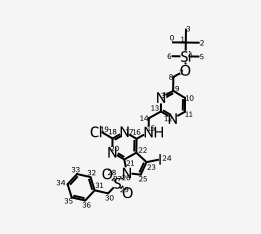 CC(C)(C)[Si](C)(C)OCc1ccnc(CNc2nc(Cl)nc3c2c(I)cn3S(=O)(=O)Cc2ccccc2)n1